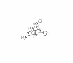 C=C(/N=C(\C=C(/N)c1cnc(N)cc1C(F)(F)F)NCC1(O)CCCC1)N1CCOCC1